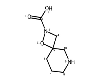 O=C(O)N1CC2(CCCNC2)O1